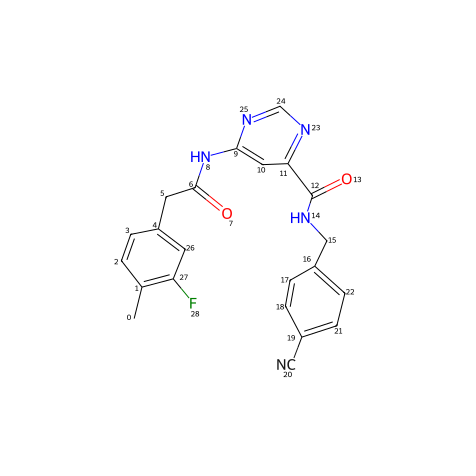 Cc1ccc(CC(=O)Nc2cc(C(=O)NCc3ccc(C#N)cc3)ncn2)cc1F